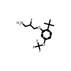 CC(C)(C)c1ccc(OC(F)(F)F)cc1OCC(F)CN